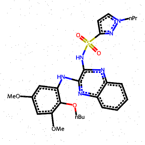 CCCCOc1c(Nc2nc3ccccc3nc2NS(=O)(=O)c2ccn(CCC)n2)cc(OC)cc1OC